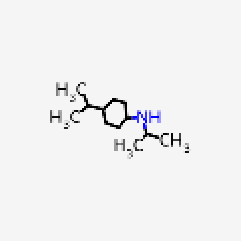 CC(C)NC1CCC(C(C)C)CC1